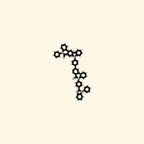 O=c1c2ccc(-c3ccc(-n4c5ccccc5c5cc6c(cc54)c(=O)n(-c4ccccc4)c4ccccc64)cc3)cc2c2ccccc2n1-c1ccc(-c2nc3ccccc3n2-c2ccccc2)cc1